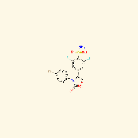 NS(=O)(=O)c1c(F)cc(-c2coc(=O)n2-c2ccc(Br)cc2)cc1F